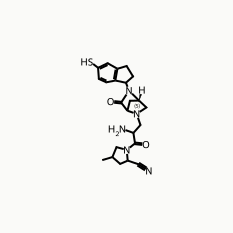 CC1CC(C#N)N(C(=O)C(N)CN2C[C@@H]3CC2C(=O)N3C2CCc3cc(S)ccc32)C1